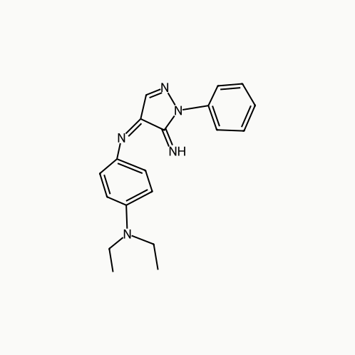 CCN(CC)c1ccc(N=C2C=NN(c3ccccc3)C2=N)cc1